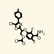 Cc1ccc(-c2nc(C(COC(=O)Cl)Oc3ccc(F)c(C(N)=O)c3F)oc2Cl)cc1